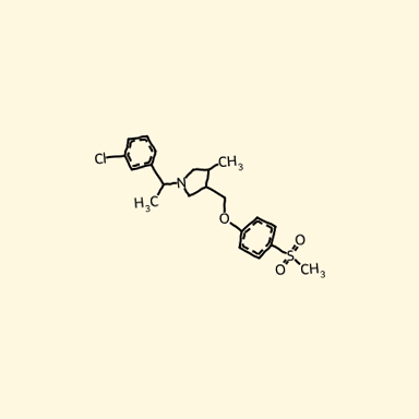 CC1CN(C(C)c2cccc(Cl)c2)CC1COc1ccc(S(C)(=O)=O)cc1